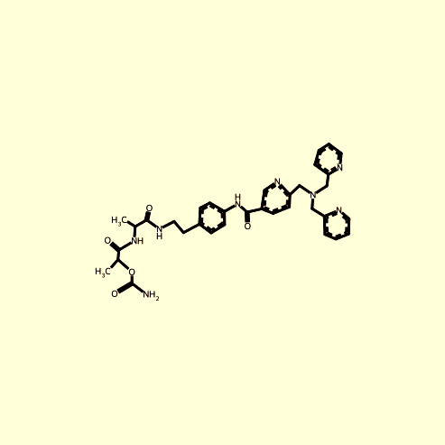 CC(NC(=O)C(C)OC(N)=O)C(=O)NCCc1ccc(NC(=O)c2ccc(CN(Cc3ccccn3)Cc3ccccn3)nc2)cc1